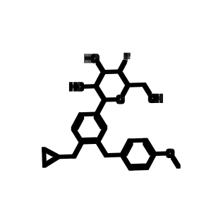 COc1ccc(Cc2cc(C3OC(CO)C(F)C(O)C3O)ccc2CC2CC2)cc1